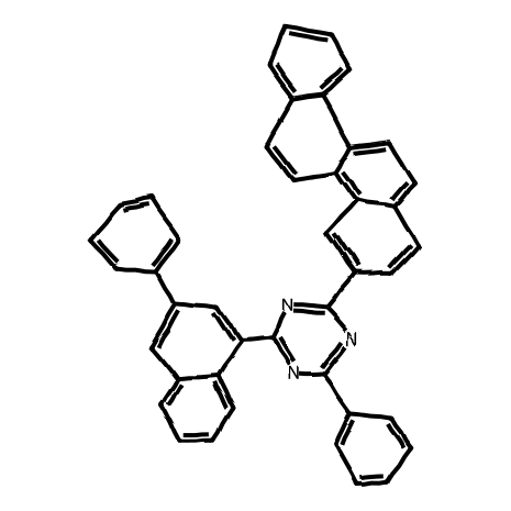 c1ccc(-c2cc(-c3nc(-c4ccccc4)nc(-c4ccc5ccc6c7ccccc7ccc6c5c4)n3)c3ccccc3c2)cc1